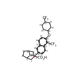 O=C(O)C1CC2CCC(C1)N2Cc1ccc2c(C(F)(F)F)c(OC3CCC(C(F)(F)F)CC3)ccc2c1